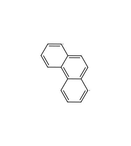 [c]1cccc2c1ccc1[c]cccc12